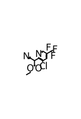 CCOC(=O)C(C#N)c1ncc(C(F)(F)F)cc1Cl